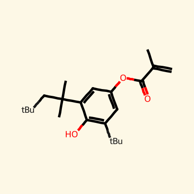 C=C(C)C(=O)Oc1cc(C(C)(C)C)c(O)c(C(C)(C)CC(C)(C)C)c1